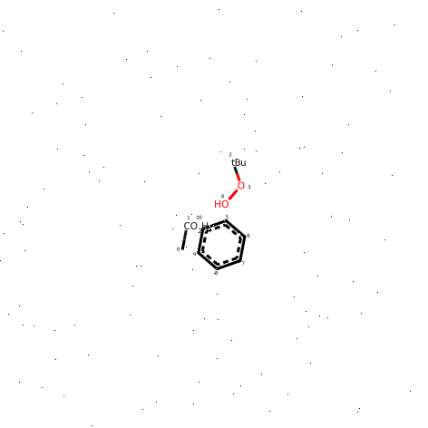 CC(=O)O.CC(C)(C)OO.c1ccccc1